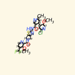 COc1cnc(Cl)cc1-c1cc(C)ncc1C(=O)Nc1nc2c(s1)CN(C(=O)c1nccc(C(F)F)c1OC)C2